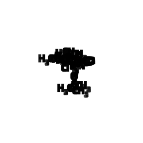 Cc1cc(-c2cn(COCC[Si](C)(C)C)c3nc(N4C5CCC4CC(NC(=O)OC(C)(C)C)C5)cnc23)c(Cl)c2cn(C)nc12